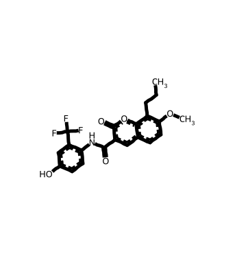 CCCc1c(OC)ccc2cc(C(=O)Nc3ccc(O)cc3C(F)(F)F)c(=O)oc12